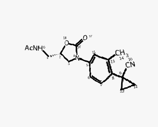 CC(=O)NC[C@H]1CN(c2ccc(C3(C#N)CC3)c(C)c2)C(=O)O1